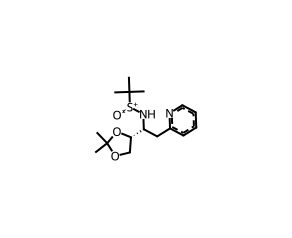 CC1(C)OC[C@@H](C(Cc2ccccn2)N[S@+]([O-])C(C)(C)C)O1